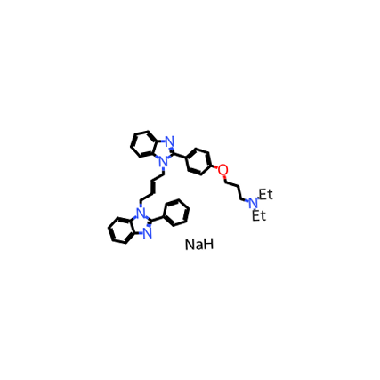 CCN(CC)CCCOc1ccc(-c2nc3ccccc3n2CC=CCn2c(-c3ccccc3)nc3ccccc32)cc1.[NaH]